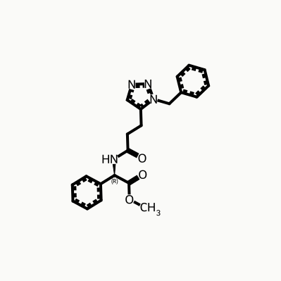 COC(=O)[C@H](NC(=O)CCc1cnnn1Cc1ccccc1)c1ccccc1